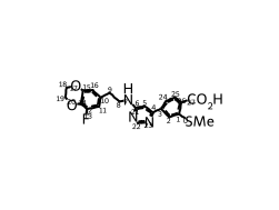 CSc1cc(-c2cc(NCCc3cc(F)c4c(c3)OCCO4)ncn2)ccc1C(=O)O